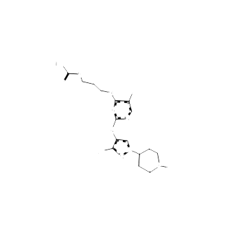 Cc1nn(C2CCN(C)CC2)cc1Nc1ncc(C(F)(F)F)c(NCCCNC(=O)C(C)C)n1